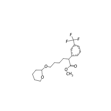 COC(=O)C(CCCCOC1CCCCO1)c1cccc(C(F)(F)F)c1